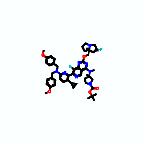 COc1ccc(CN(Cc2ccc(OC)cc2)c2ccc(C3CC3)c(-c3ncc4c(N(C)[C@@H]5CCN(C(=O)OC(C)(C)C)C5)nc(OC[C@@]56CCCN5C[C@H](F)C6)nc4c3F)n2)cc1